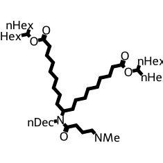 CCCCCCCCCCN(C(=O)CCCNC)C(CCCCCCCCC(=O)OC(CCCCCC)CCCCCC)CCCCCCCCC(=O)OC(CCCCCC)CCCCCC